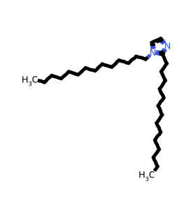 CCCCCCCCCCCCCCc1nccn1CCCCCCCCCCCCCC